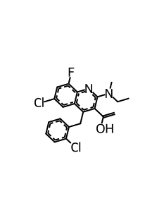 C=C(O)c1c(N(C)CC)nc2c(F)cc(Cl)cc2c1Cc1ccccc1Cl